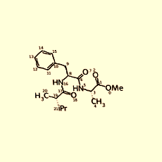 COC(=O)[C@H](C)NC(=O)[C@H](Cc1ccccc1)NC(=O)[C@@H](C)C(C)C